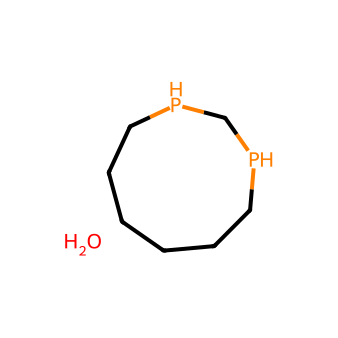 C1CCCPCPCC1.O